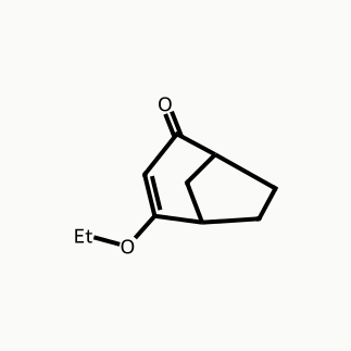 CCOC1=CC(=O)C2CCC1C2